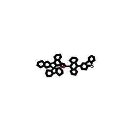 c1ccc2c(c1)-c1ccccc1C21c2cc3ccccc3cc2-c2c1c1ccc(-c3c4ccccc4c(-c4ccc5sc6ccccc6c5c4)c4ccccc34)cc1c1ccccc21